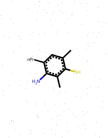 CCCc1cc(C)c(S)c(C)c1N